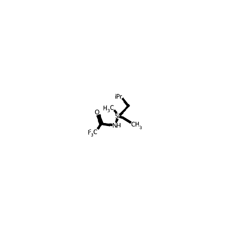 CC(C)C[Si](C)(C)NC(=O)C(F)(F)F